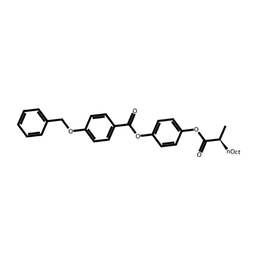 CCCCCCCC[C@H](C)C(=O)Oc1ccc(OC(=O)c2ccc(OCc3ccccc3)cc2)cc1